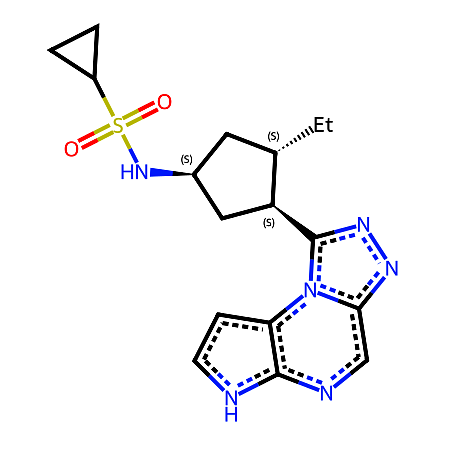 CC[C@H]1C[C@H](NS(=O)(=O)C2CC2)C[C@@H]1c1nnc2cnc3[nH]ccc3n12